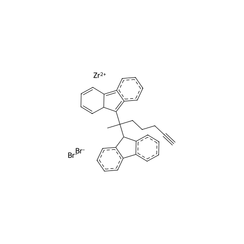 C#CCCCC(C)(C1=c2ccccc2=C2C=CC=CC21)C1c2ccccc2-c2ccccc21.[Br-].[Br-].[Zr+2]